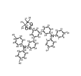 Cc1ccc(N(c2ccc(C)cc2)c2cccc(-c3cc(B4OC(C)(C)C(C)(C)O4)cc(-c4cccc(N(c5ccc(C)cc5)c5ccc(C)cc5)c4)c3)c2)cc1